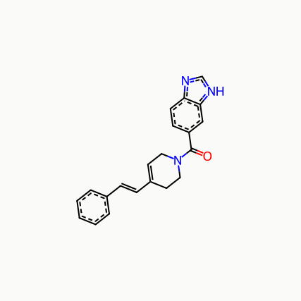 O=C(c1ccc2nc[nH]c2c1)N1CC=C(C=Cc2ccccc2)CC1